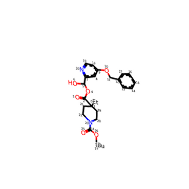 CCC1(C(=O)OC(O)c2cc(OCc3ccccc3)ccn2)CCN(C(=O)OC(C)(C)C)CC1